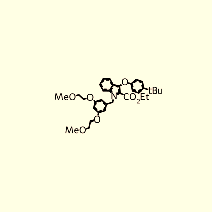 CCOC(=O)c1c(Oc2ccc(C(C)(C)C)cc2)c2ccccc2n1Cc1cc(OCCOC)cc(OCCOC)c1